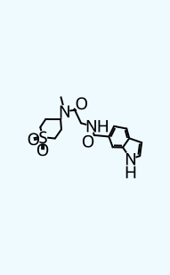 CN(C(=O)CNC(=O)c1ccc2cc[nH]c2c1)C1CCS(=O)(=O)CC1